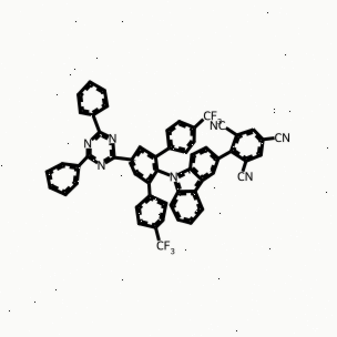 N#Cc1cc(C#N)c(-c2ccc3c(c2)c2ccccc2n3-c2c(-c3ccc(C(F)(F)F)cc3)cc(-c3nc(-c4ccccc4)nc(-c4ccccc4)n3)cc2-c2ccc(C(F)(F)F)cc2)c(C#N)c1